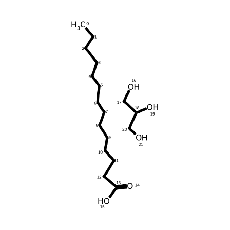 CCCCCCCCCCCCCC(=O)O.OCC(O)CO